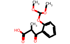 COC(OC)Oc1ccccc1C(=O)C(C)C(=O)O